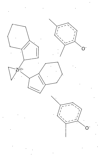 C1=C[CH]([Zr+2]2([CH]3C=CC4=C3CCCC4)[CH2][CH2]2)C2=C1CCCC2.Cc1ccc([O-])c(C)c1.Cc1ccc([O-])c(C)c1